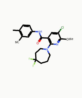 COc1nc(N2CCCC(F)(F)CC2)c(C(=O)Nc2ccc(C)c(C#N)c2)cc1Cl